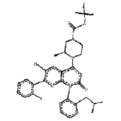 CC(C)Cc1ncccc1-n1c(=O)nc(N2CCN(C(=O)OC(C)(C)C)C[C@@H]2C)c2cc(Cl)c(-c3ccccc3F)nc21